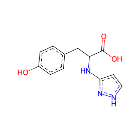 O=C(O)C(Cc1ccc(O)cc1)Nc1cc[nH]n1